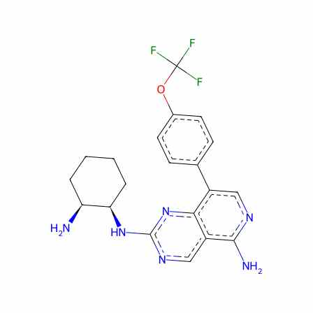 Nc1ncc(-c2ccc(OC(F)(F)F)cc2)c2nc(N[C@@H]3CCCC[C@@H]3N)ncc12